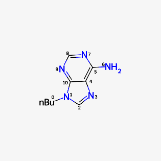 [CH2]CCCn1cnc2c(N)ncnc21